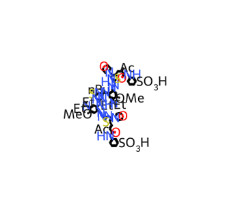 CCCCSc1nc(Nc2cc(N(CC)CC)c(OC)cc2/N=N/c2nc(N3CCOCC3)c(/C=C(/C(C)=O)C(=O)Nc3cccc(S(=O)(=O)O)c3)s2)nc(Nc2cc(N(CC)CC)c(OC)cc2/N=N/c2nc(N3CCOCC3)c(/C=C(\C(C)=O)C(=O)Nc3cccc(S(=O)(=O)O)c3)s2)n1